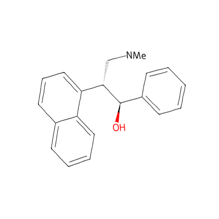 CNC[C@@H](c1cccc2ccccc12)[C@H](O)c1ccccc1